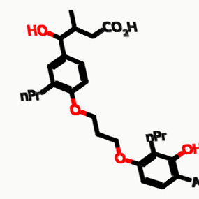 CCCc1cc(C(O)C(C)CC(=O)O)ccc1OCCCOc1ccc(C(C)=O)c(O)c1CCC